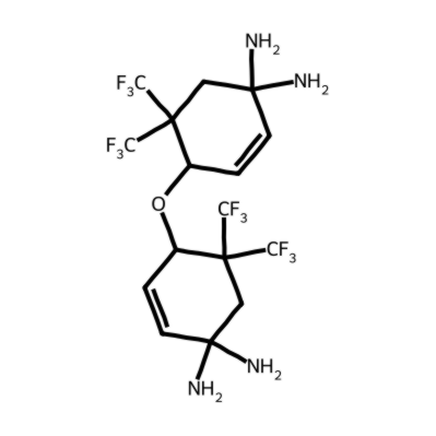 NC1(N)C=CC(OC2C=CC(N)(N)CC2(C(F)(F)F)C(F)(F)F)C(C(F)(F)F)(C(F)(F)F)C1